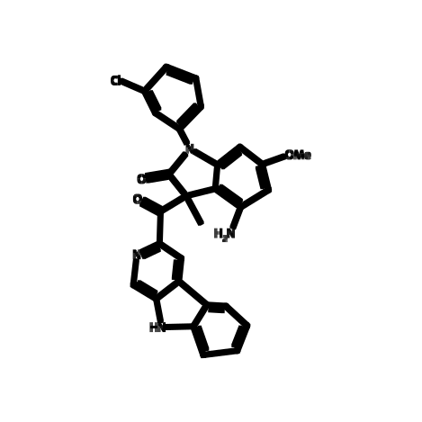 COc1cc(N)c2c(c1)N(c1cccc(Cl)c1)C(=O)C2(C)C(=O)c1cc2c(cn1)[nH]c1ccccc12